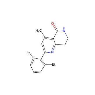 CCc1cccc(CC)c1-c1cc(C)c2c(n1)CCNC2=O